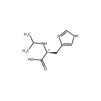 CC(C)N[C@@H](Cc1c[nH]cn1)C(=O)O